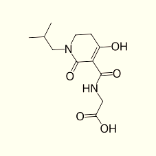 CC(C)CN1CCC(O)=C(C(=O)NCC(=O)O)C1=O